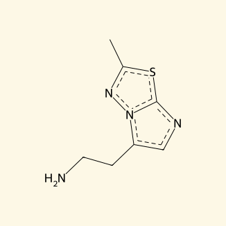 Cc1nn2c(CCN)cnc2s1